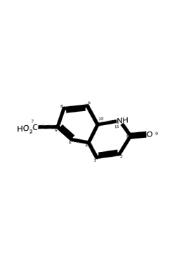 O=C1C=CC2C=C(C(=O)O)C=CC2N1